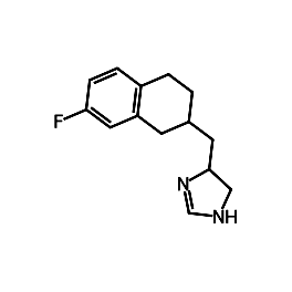 Fc1ccc2c(c1)CC(CC1CNC=N1)CC2